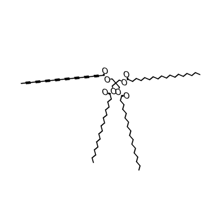 CC#CC#CC#CC#CC#CC#CC#CC#CC(=O)OCC(COC(=O)CCCCCCCCCCCCCCCCC)(COC(=O)CCCCCCCCCCCCCCCCC)COC(=O)CCCCCCCCCCCCCCCCC